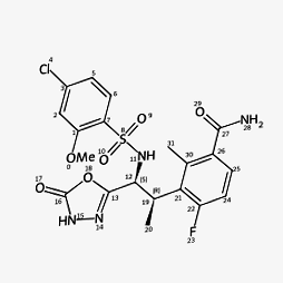 COc1cc(Cl)ccc1S(=O)(=O)N[C@H](c1n[nH]c(=O)o1)[C@H](C)c1c(F)ccc(C(N)=O)c1C